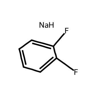 Fc1ccccc1F.[NaH]